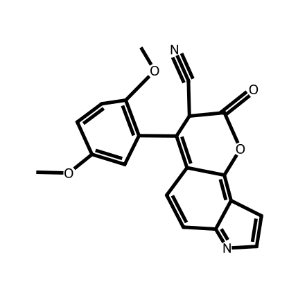 COc1ccc(OC)c(C2=c3ccc4c(c3OC(=O)C2C#N)C=CN=4)c1